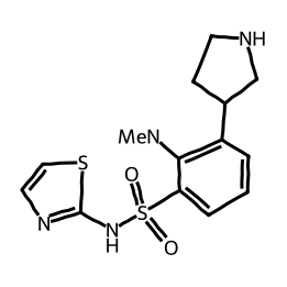 CNc1c(C2CCNC2)cccc1S(=O)(=O)Nc1nccs1